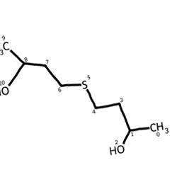 CC(O)CCSCCC(C)O